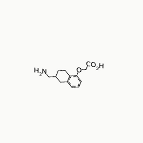 NCC1CCc2c(cccc2OCC(=O)O)C1